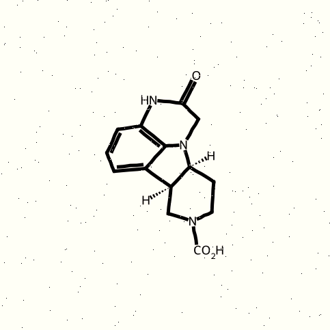 O=C1CN2c3c(cccc3[C@@H]3CN(C(=O)O)CC[C@@H]32)N1